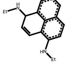 CCNc1ccc2cccc3c2c1C=CC3NCC